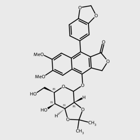 COc1cc2c(OC3O[C@H](CO)[C@H](O)[C@@H]4OC(C)(C)O[C@@H]34)c3c(c(-c4ccc5c(c4)OCO5)c2cc1OC)C(=O)OC3